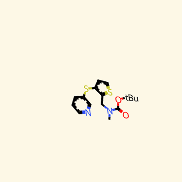 CN(Cc1sccc1Sc1cccnc1)C(=O)OC(C)(C)C